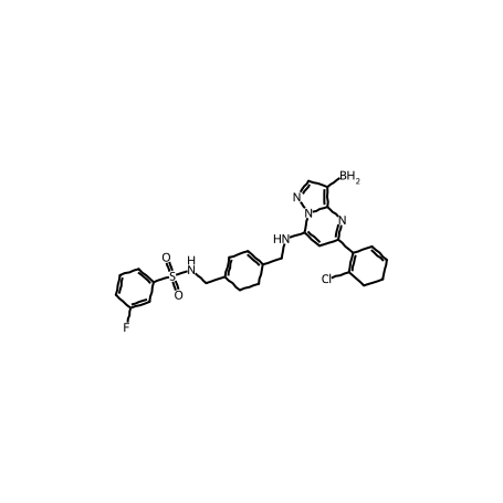 Bc1cnn2c(NCC3=CC=C(CNS(=O)(=O)c4cccc(F)c4)CC3)cc(C3=C(Cl)CCC=C3)nc12